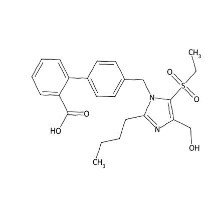 CCCCc1nc(CO)c(S(=O)(=O)CC)n1Cc1ccc(-c2ccccc2C(=O)O)cc1